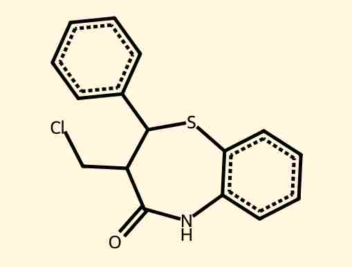 O=C1Nc2ccccc2SC(c2ccccc2)C1CCl